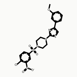 COc1cccc(-c2csc(N3CCN(S(=O)(=O)c4ccc(Cl)c([N+](=O)[O-])c4)CC3)n2)c1